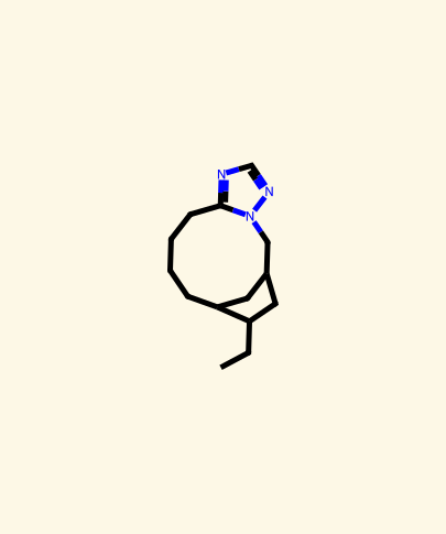 CCC1CC2CC1CCCCc1ncnn1C2